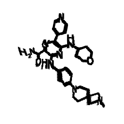 CN1CC2(CCN(c3ccc(Nc4nc(NC5CCOCC5)c(-c5ccncc5)nc4C(N)=O)cc3)CC2)C1